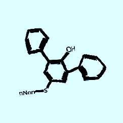 CCCCCCCCCSc1cc(-c2ccccc2)c(O)c(-c2ccccc2)c1